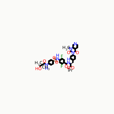 CC(C)OC(=O)[C@H](Cc1ccc(-n2c(=O)c3ccncc3n(C)c2=O)cc1)NC(=O)c1cc(F)c(NS(=O)(=O)c2ccc(NC(=O)C(C)(C)CO)cc2)cc1F